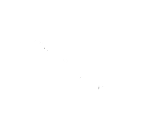 CC(C)CCOCCOCCNC=S